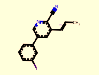 C/C=C/c1cc(-c2cccc(I)c2)cnc1C#N